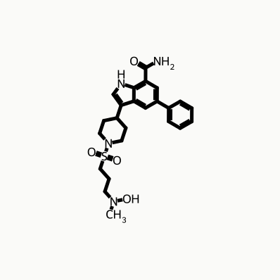 CN(O)CCCS(=O)(=O)N1CCC(c2c[nH]c3c(C(N)=O)cc(-c4ccccc4)cc23)CC1